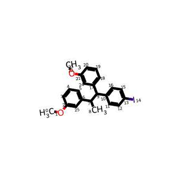 COc1cccc(C(C)C(c2ccc(I)cc2)c2cccc(OC)c2)c1